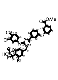 COC(=O)c1cccc(Oc2cccc(-c3nn(Cc4ccc(C(F)(F)P(=O)(O)O)c(Br)c4)c(=Nc4ccc(Cl)c(Cl)c4)s3)c2)c1